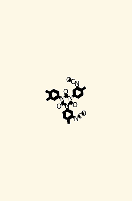 Cc1ccc(-n2c(=O)n(-c3ccc(C)c(N=C=O)c3)c(=O)n(-c3ccc(C)c(N=C=O)c3)c2=O)cc1C